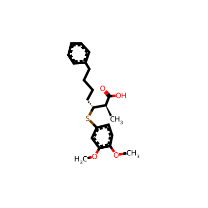 COc1ccc(S[C@H](CCCCc2ccccc2)[C@H](C)C(=O)O)cc1OC